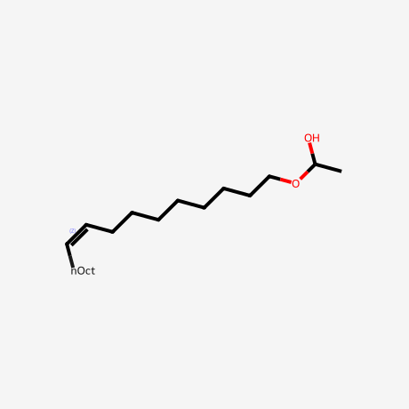 CCCCCCCC/C=C\CCCCCCCCOC(C)O